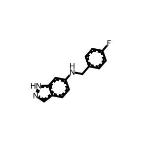 Fc1ccc(CNc2ccc3cn[nH]c3c2)cc1